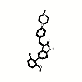 COc1cccc(F)c1-c1ccc2c(c1)C(=Cc1ccc(N3CCN(C)CC3)cc1)C(=O)N2